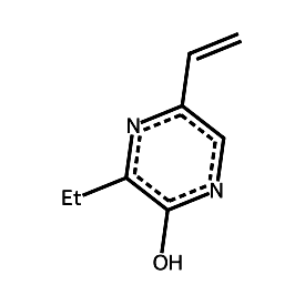 C=Cc1cnc(O)c(CC)n1